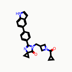 O=C(C1CC1)N1CC(CN2C(=O)C3(CC3)N=C2c2ccc(-c3ccc4[nH]ccc4c3)cc2)C1